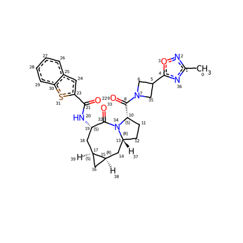 Cc1noc(C2CN(C(=O)[C@@H]3CC[C@@H]4C[C@H]5C[C@H]5C[C@H](NC(=O)c5cc6ccccc6s5)C(=O)N43)C2)n1